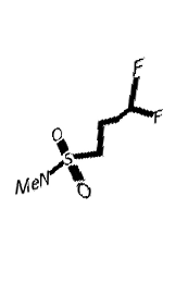 CNS(=O)(=O)CCC(F)F